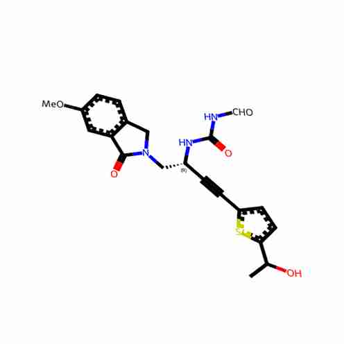 COc1ccc2c(c1)C(=O)N(C[C@@H](C#Cc1ccc(C(C)O)s1)NC(=O)NC=O)C2